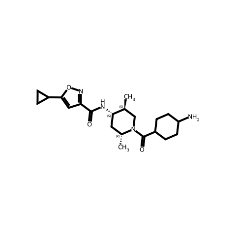 C[C@@H]1C[C@H](NC(=O)c2cc(C3CC3)on2)[C@@H](C)CN1C(=O)C1CCC(N)CC1